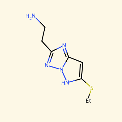 CCSc1cc2nc(CCN)nn2[nH]1